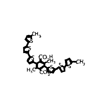 Cc1ccc(-c2ccc(-c3ccc(-c4c(C)c(C(=O)O)c(-c5ccc(-c6ccc(-c7ccc(C)s7)s6)s5)c(C)c4C(=O)O)s3)s2)s1